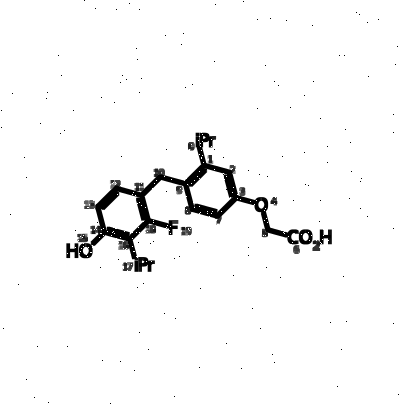 CC(C)c1cc(OCC(=O)O)ccc1Cc1ccc(O)c(C(C)C)c1F